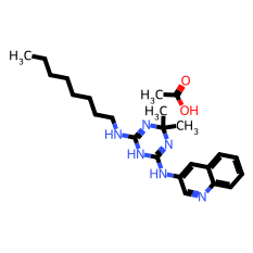 CC(=O)O.CCCCCCCCNC1=NC(C)(C)N=C(Nc2cnc3ccccc3c2)N1